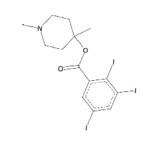 CN1CCC(C)(OC(=O)c2cc(I)cc(I)c2I)CC1